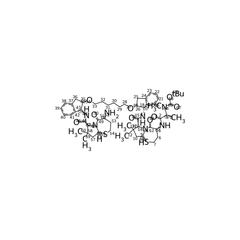 C[C@@H](C(=O)N[C@H]1CCS[C@H]2CC(C)(C)[C@@H](C(=O)N[C@H]3c4ccccc4C[C@H]3OCCCCCCO[C@@H]3Cc4ccccc4[C@@H]3NC(=O)[C@H]3N4C(=O)[C@@H](N)CCS[C@H]4CC3(C)C)N2C1=O)N(C)C(=O)OC(C)(C)C